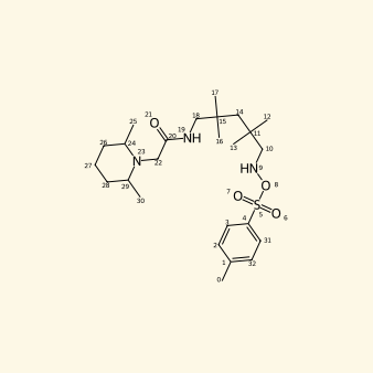 Cc1ccc(S(=O)(=O)ONCC(C)(C)CC(C)(C)CNC(=O)CN2C(C)CCCC2C)cc1